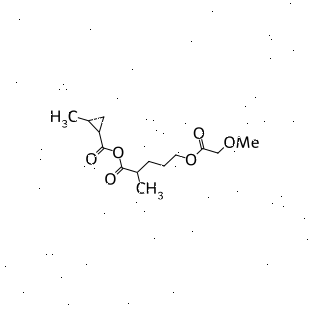 COCC(=O)OCCCC(C)C(=O)OC(=O)C1CC1C